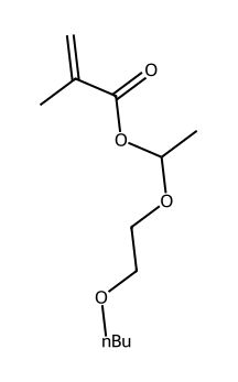 C=C(C)C(=O)OC(C)OCCOCCCC